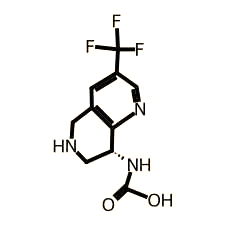 O=C(O)N[C@@H]1CNCc2cc(C(F)(F)F)cnc21